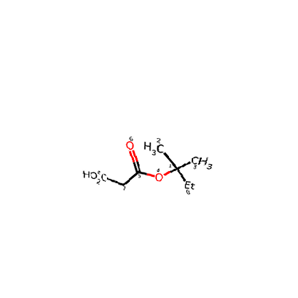 CCC(C)(C)OC(=O)CC(=O)O